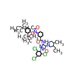 CCC1CN(C2C(=O)N(c3c(Cl)cc(Cl)cc3Cl)N=C2NC(=O)c2cccc(N(Oc3ccc(C(C)(C)CC)cc3C(C)(C)CC)C(C)=O)c2)CCC1C